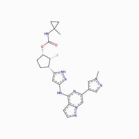 Cn1cc(-c2cn3nccc3c(Nc3cc([C@@H]4CC[C@H](OC(=O)NC5(C)CC5)[C@@H]4F)[nH]n3)n2)cn1